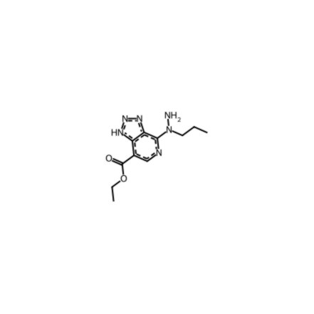 CCCN(N)c1ncc(C(=O)OCC)c2[nH]nnc12